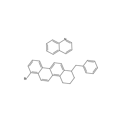 Brc1cccc2c1ccc1c3c(ccc12)C(Cc1ccccc1)CCC3.c1ccc2ncccc2c1